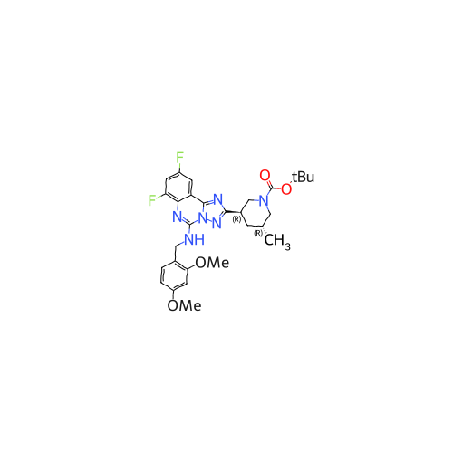 COc1ccc(CNc2nc3c(F)cc(F)cc3c3nc([C@@H]4C[C@@H](C)CN(C(=O)OC(C)(C)C)C4)nn23)c(OC)c1